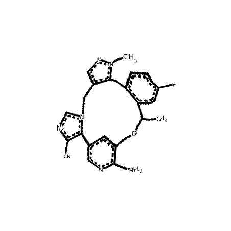 CC1Oc2cc(cnc2N)-c2c(C#N)ncn2Cc2cnn(C)c2-c2ccc(F)cc21